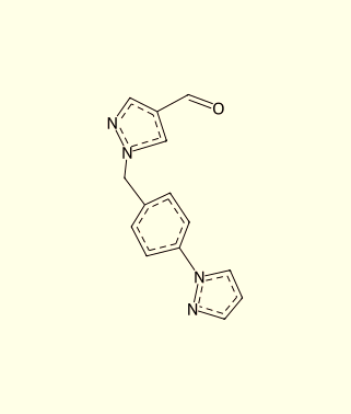 O=Cc1cnn(Cc2ccc(-n3cccn3)cc2)c1